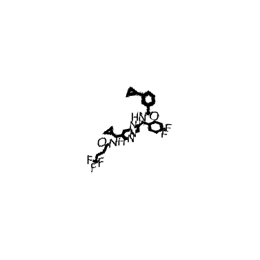 O=C(CCC(F)(F)F)NC(c1cnn2cc([C@@H](NC(=O)c3cccc(C4CC4)c3)C3CCC(F)(F)CC3)nc2c1)C1CC1